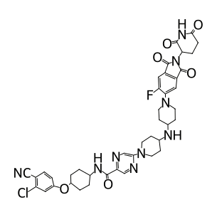 N#Cc1ccc(OC2CCC(NC(=O)c3cnc(N4CCC(NC5CCN(c6cc7c(cc6F)C(=O)N(C6CCC(=O)NC6=O)C7=O)CC5)CC4)cn3)CC2)cc1Cl